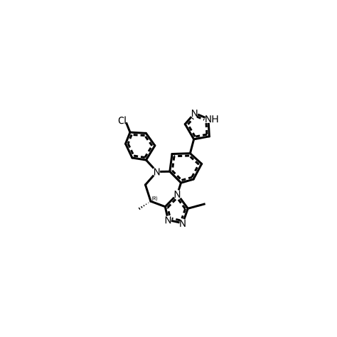 Cc1nnc2n1-c1ccc(-c3cn[nH]c3)cc1N(c1ccc(Cl)cc1)C[C@H]2C